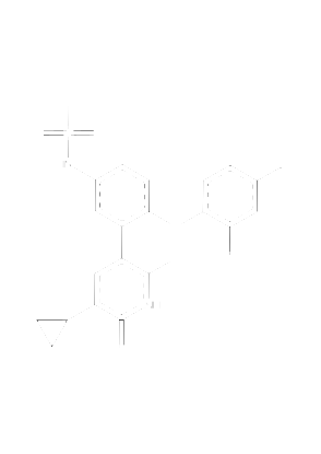 CCS(=O)(=O)Nc1ccc(Oc2ccc(F)cc2F)c(-c2cc(C3CC3)c(=O)[nH]c2C)c1